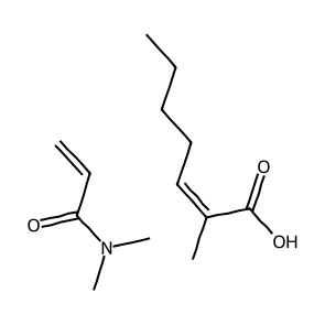 C=CC(=O)N(C)C.CCCCC=C(C)C(=O)O